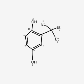 CCC(CC)(CC)c1cc(O)ccc1O